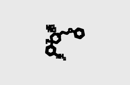 Cl.Cl.Nc1cccc(C2(F)CCN(CCOc3ccccc3)CC2)c1